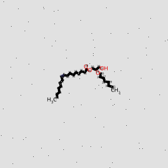 CCCCCCCC/C=C\CCCCCCCC(=O)OCC(CO)OCCCCCCCC